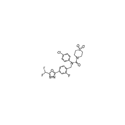 O=C(N1CCS(=O)(=O)CC1)N(Cc1ccc(-c2nnc(C(F)F)o2)cc1F)c1ccc(Cl)cc1